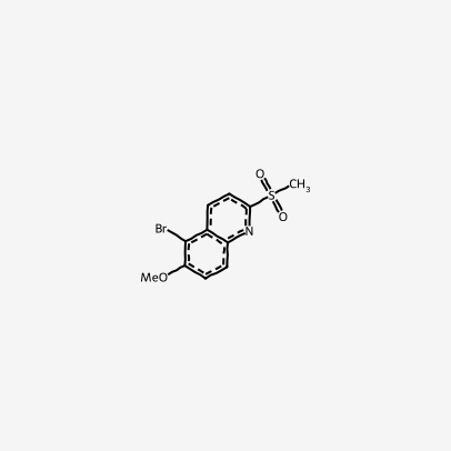 COc1ccc2nc(S(C)(=O)=O)ccc2c1Br